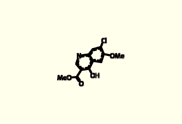 COC(=O)c1cnc2cc(Cl)c(OC)cc2c1O